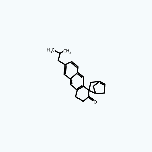 CC(C)Cc1ccc2cc3c(cc2c1)CCC(=O)C31CC2=CCC1C2